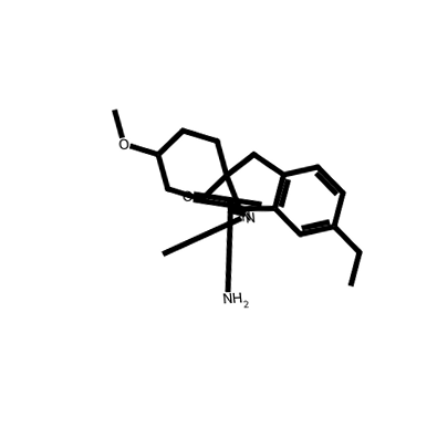 CCc1ccc2c(c1)C1(N=C(N)N(C)C1=O)C1(CCC(OC)CC1)C2